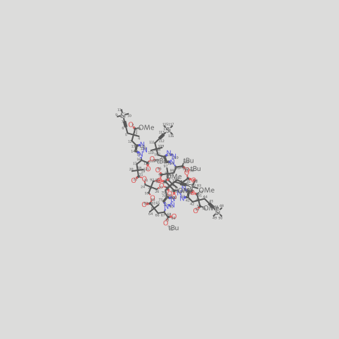 COC(=O)C(C)(CC#C[Si](C)(C)C)Cc1cn(C(CC(C)(C)C(=O)OCC(COC(=O)C(C)(C)CC(C(=O)OC(C)(C)C)n2cc(CC(CC#C[Si](C)(C)C)(C(=O)OC)C(=O)OC)nn2)(COC(=O)C(C)(C)CC(C(=O)OC(C)(C)C)n2cc(CC(CC#C[Si](C)(C)C)(C(=O)OC)C(=O)OC)nn2)COC(=O)C(C)(C)CC(C(=O)C(C)(C)C)n2cc(CC(C)(C)CC#C[Si](C)(C)C)nn2)C(=O)OC(C)(C)C)nn1